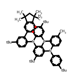 Cc1ccc2c(c1)B1c3cc(C(C)(C)C)ccc3N(c3ccc(C(C)(C)C)cc3-c3ccc4c(c3)C(C)(C)CC4(C)C)c3cc(C(C)(C)C)cc(c31)N2c1ccc(C(C)(C)C)cc1